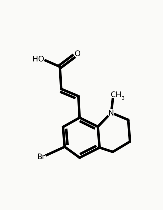 CN1CCCc2cc(Br)cc(C=CC(=O)O)c21